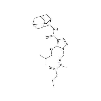 CCOC(=O)/C(C)=C/Cn1ncc(C(=O)NC2C3CC4CC(C3)CC2C4)c1OCC(C)C